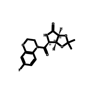 CC1(C)O[C@H]2[C@@H](C(=O)N3CCOc4cc(F)ccc43)NC(=O)[C@H]2O1